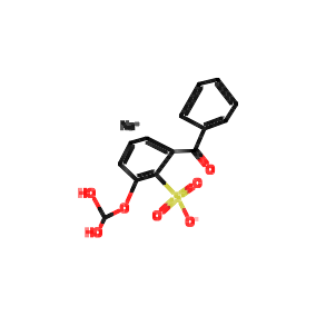 O=C(c1ccccc1)c1cccc(OC(O)O)c1S(=O)(=O)[O-].[Na+]